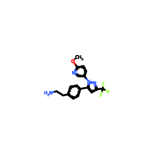 COc1ccc(-n2nc(C(F)(F)F)cc2-c2ccc(CCN)cc2)cn1